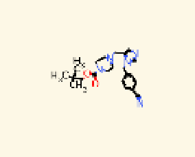 CC(C)(C)COC(=O)N1CCN(Cc2cncn2Cc2ccc(C#N)cc2)CC1